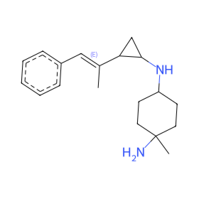 C/C(=C\c1ccccc1)C1CC1NC1CCC(C)(N)CC1